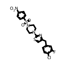 O=[N+]([O-])c1ccc(S(=O)(=O)N2CCN(c3nc(Cc4ccc(Cl)c(F)c4)cs3)CC2)cc1